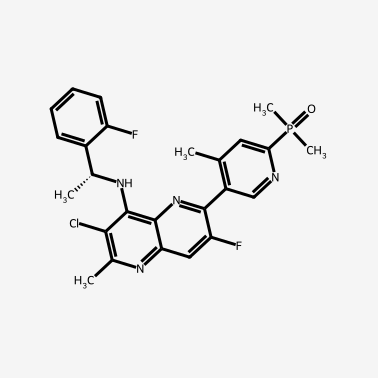 Cc1cc(P(C)(C)=O)ncc1-c1nc2c(N[C@H](C)c3ccccc3F)c(Cl)c(C)nc2cc1F